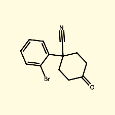 N#CC1(c2ccccc2Br)CCC(=O)CC1